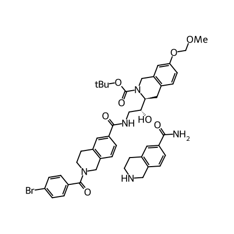 COCOc1ccc2c(c1)CN(C(=O)OC(C)(C)C)[C@H]([C@H](O)CNC(=O)c1ccc3c(c1)CCN(C(=O)c1ccc(Br)cc1)C3)C2.NC(=O)c1ccc2c(c1)CCNC2